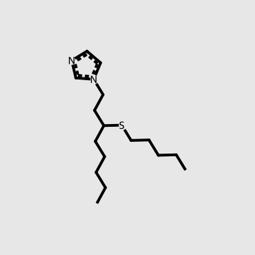 CCCCCSC(CCCCC)CCn1ccnc1